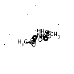 CCCCS(=O)(=O)Oc1cccc(NC(=O)Nc2ccccc2OS(=O)(=O)CC)c1